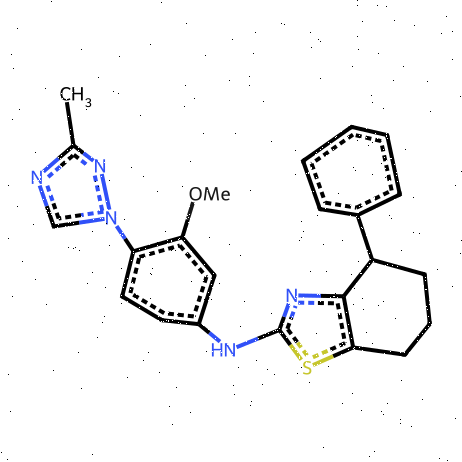 COc1cc(Nc2nc3c(s2)CCCC3c2ccccc2)ccc1-n1cnc(C)n1